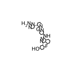 Nc1nccc(-c2cccnc2Oc2ccc(Nc3nnc(-c4cc(O)ccc4F)c4ccccc34)cn2)n1